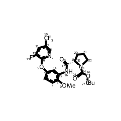 COc1ccc(Oc2ncc(C(F)(F)F)cc2F)cc1NC(=O)[C@@H]1CCCN1C(=O)OC(C)(C)C